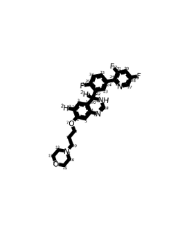 [2H]c1cc2c(cc1OCCCN1CCOCC1)N=CNC2([2H])c1cc(-c2ncc(F)cc2F)ccc1F